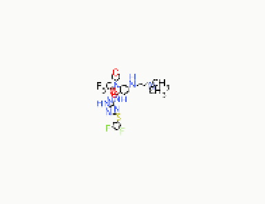 CN(C)CCCCNc1ccc(C(=O)Nc2n[nH]c3ncc(Sc4cc(F)cc(F)c4)nc23)c(N(C(=O)C(F)(F)F)C2CCOCC2)c1